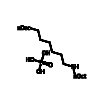 CCCCCCCCCCCCCCCCNCCCCCCCC.O=P(O)(O)O